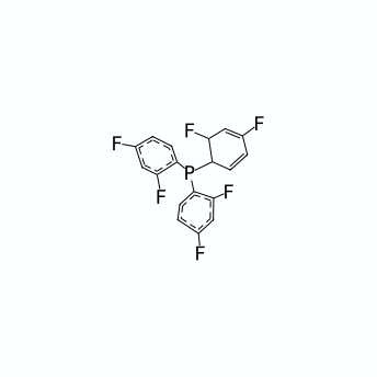 FC1=CC(F)C(P(c2ccc(F)cc2F)c2ccc(F)cc2F)C=C1